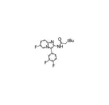 CC(C)(C)CC(=O)Nc1nc2ccc(F)cn2c1-c1ccc(F)c(F)c1